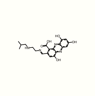 CC(C)CNCCN=Cc1cc(O)c2nc3cc(O)cc(O)c3nc2c1C(=O)O